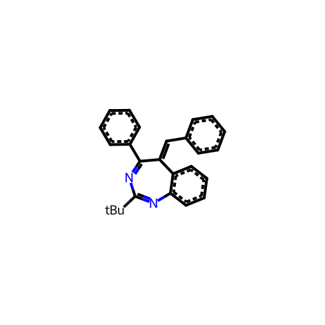 CC(C)(C)C1=Nc2ccccc2C(=Cc2ccccc2)C(c2ccccc2)=N1